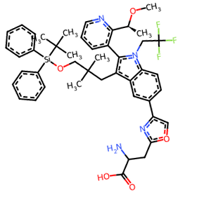 CO[C@@H](C)c1ncccc1-c1c(CC(C)(C)CO[Si](c2ccccc2)(c2ccccc2)C(C)(C)C)c2cc(-c3coc(CC(N)C(=O)O)n3)ccc2n1CC(F)(F)F